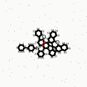 c1ccc(-c2ccc(N(c3ccc4oc5ccccc5c4c3)c3ccccc3-c3cccc4c3-c3ccccc3C43c4ccc5ccccc5c4Oc4c3ccc3ccccc43)cc2)cc1